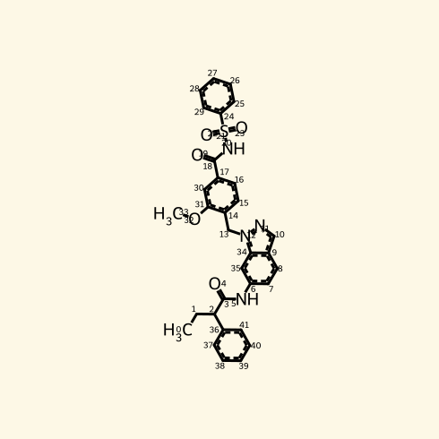 CCC(C(=O)Nc1ccc2cnn(Cc3ccc(C(=O)NS(=O)(=O)c4ccccc4)cc3OC)c2c1)c1ccccc1